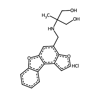 CC(CO)(CO)NCc1cc2oc3ccccc3c2c2ccoc12.Cl